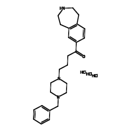 Cl.Cl.Cl.O=C(CCCN1CCN(Cc2ccccc2)CC1)c1ccc2c(c1)CCNCC2